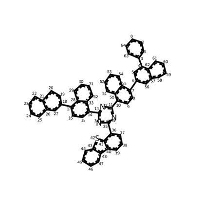 c1ccc(-c2cc(-c3ccc(-c4nc(-c5ccc(-c6ccc7ccccc7c6)c6ccccc56)nc(-c5cccc6c5sc5ccccc56)n4)c4ccccc34)cc3ccccc23)cc1